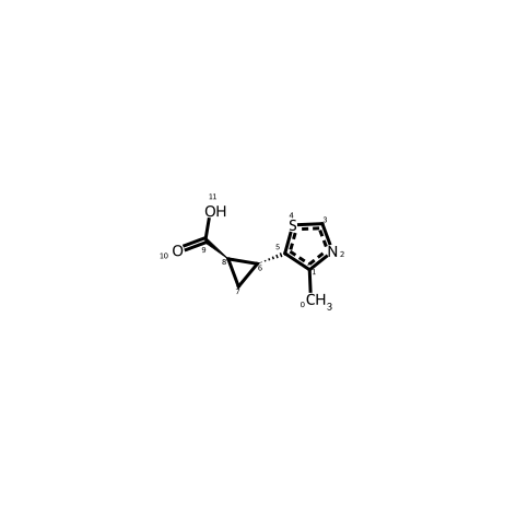 Cc1ncsc1[C@@H]1C[C@H]1C(=O)O